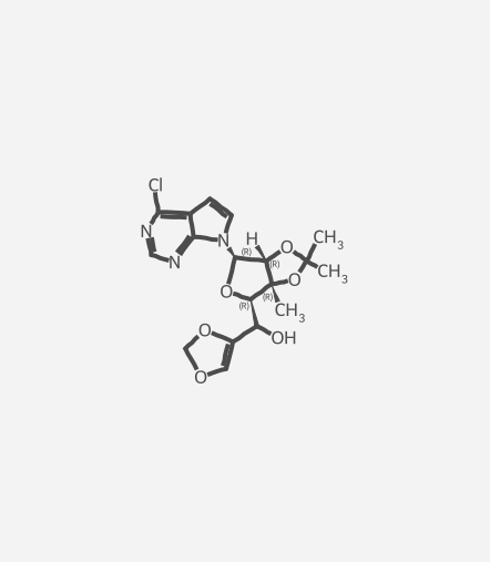 CC1(C)O[C@H]2[C@H](n3ccc4c(Cl)ncnc43)O[C@H](C(O)C3=COCO3)[C@@]2(C)O1